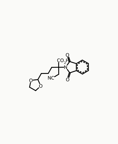 N#CCC(CCCC1OCCO1)(C(=O)O)N1C(=O)c2ccccc2C1=O